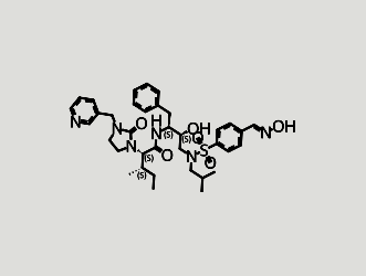 CC[C@H](C)[C@@H](C(=O)N[C@@H](Cc1ccccc1)[C@@H](O)CN(CC(C)C)S(=O)(=O)c1ccc(C=NO)cc1)N1CCN(Cc2cccnc2)C1=O